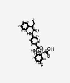 CCC(C(=O)Nc1ccc(C(=O)Nc2ccc(F)cc2NC(=O)O)nc1)c1ccccc1